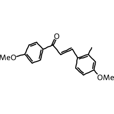 COc1ccc(C(=O)C=Cc2ccc(OC)cc2C)cc1